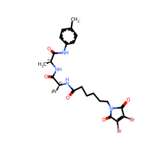 [CH2]c1ccc(NC(=O)[C@H](C)NC(=O)[C@@H](NC(=O)CCCCCN2C(=O)C(Br)=C(Br)C2=O)C(C)C)cc1